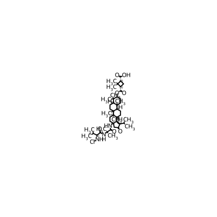 CC(C)C1=C2[C@H]3CC[C@@H]4[C@@]5(C)CC[C@H](OC(=O)[C@H]6C[C@@H](C(=O)O)C6(C)C)C(C)(C)[C@@H]5CC[C@@]4(C)[C@]3(C)CC[C@@]2(NC(=O)C(C)(C)NC(=O)[C@@H](NCl)C(C)C)CC1=O